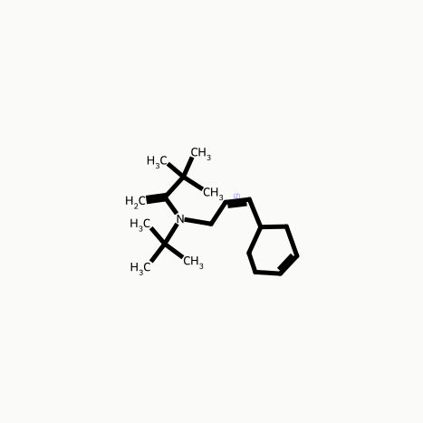 C=C(N(C/C=C\C1CC=CCC1)C(C)(C)C)C(C)(C)C